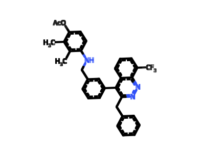 CC(=O)Oc1ccc(NCc2cccc(-c3c(Cc4ccccc4)nnc4c(C(F)(F)F)cccc34)c2)c(C)c1C